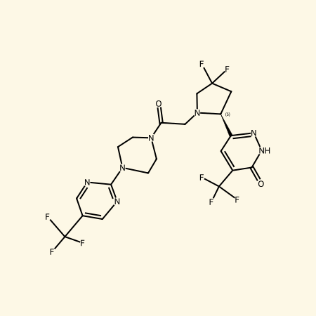 O=C(CN1CC(F)(F)C[C@H]1c1cc(C(F)(F)F)c(=O)[nH]n1)N1CCN(c2ncc(C(F)(F)F)cn2)CC1